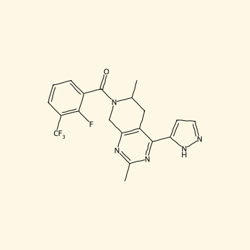 Cc1nc2c(c(-c3ccn[nH]3)n1)CC(C)N(C(=O)c1cccc(C(F)(F)F)c1F)C2